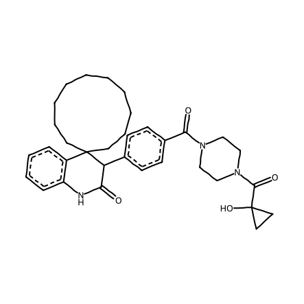 O=C1Nc2ccccc2C2(CCCCCCCCCC2)C1c1ccc(C(=O)N2CCN(C(=O)C3(O)CC3)CC2)cc1